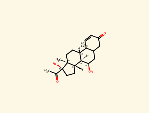 CC(=O)[C@@]1(O)CC[C@H]2[C@@H]3[C@H](O)CC4CC(=O)C=C[C@]4(C)[C@H]3CC[C@@]21C